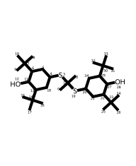 CC(C)(SC1CC(C(C)(C)C)C(O)C(C(C)(C)C)C1)SC1CC(C(C)(C)C)C(O)C(C(C)(C)C)C1